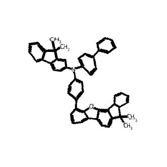 CC1(C)c2ccccc2-c2ccc(N(c3ccc(-c4ccccc4)cc3)c3ccc(-c4cccc5c4oc4c6c(ccc45)C(C)(C)C4C=CC=CC64)cc3)cc21